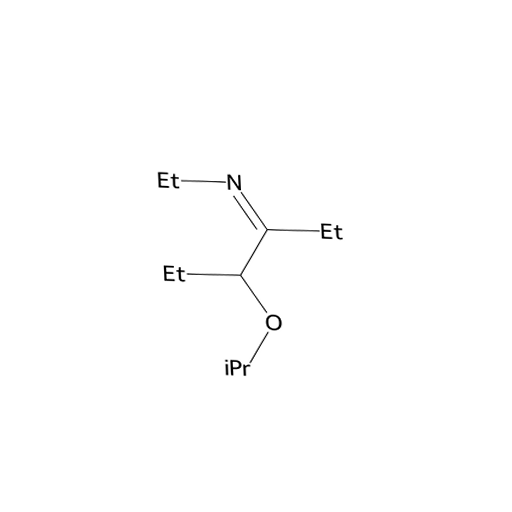 CC/N=C(/CC)C(CC)OC(C)C